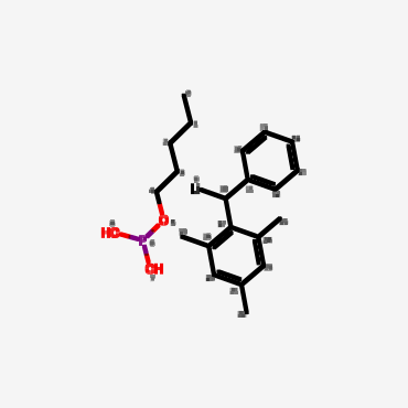 CCCCCOP(O)O.[Li][CH](c1ccccc1)c1c(C)cc(C)cc1C